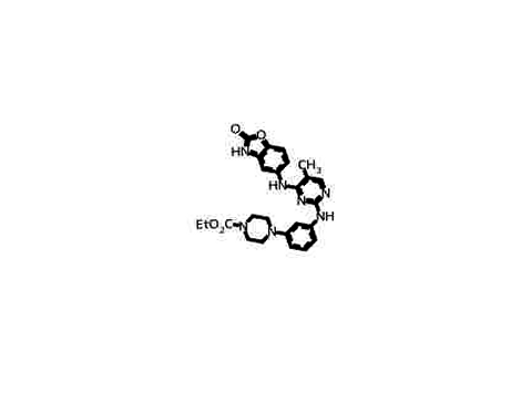 CCOC(=O)N1CCN(c2cccc(Nc3ncc(C)c(Nc4ccc5oc(=O)[nH]c5c4)n3)c2)CC1